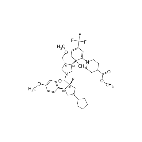 COC[C@H]1CN(C(=O)[C@]2(F)CN(C3CCCC3)C[C@H]2c2ccc(OC)cc2)C[C@@H]1C1(C)CC=C(C(F)(F)F)C=C1N1CCC(C(=O)OC)CC1